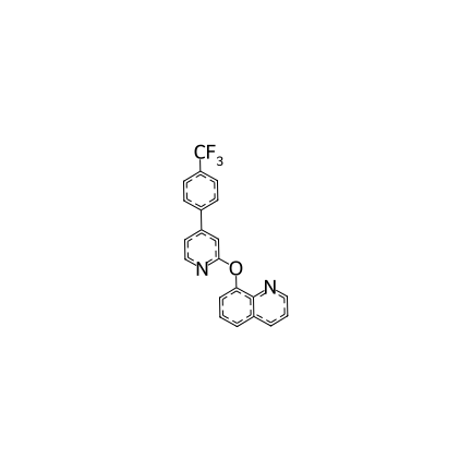 FC(F)(F)c1ccc(-c2ccnc(Oc3cccc4cccnc34)c2)cc1